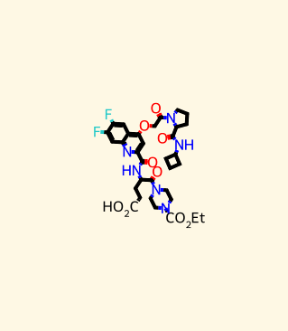 CCOC(=O)N1CCN(C(=O)C(CCC(=O)O)NC(=O)c2cc(OCC(=O)N3CCCC3C(=O)NC3CCC3)c3cc(F)c(F)cc3n2)CC1